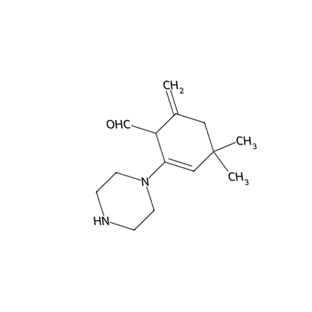 C=C1CC(C)(C)C=C(N2CCNCC2)C1C=O